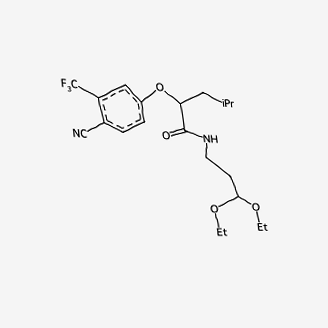 CCOC(CCNC(=O)C(CC(C)C)Oc1ccc(C#N)c(C(F)(F)F)c1)OCC